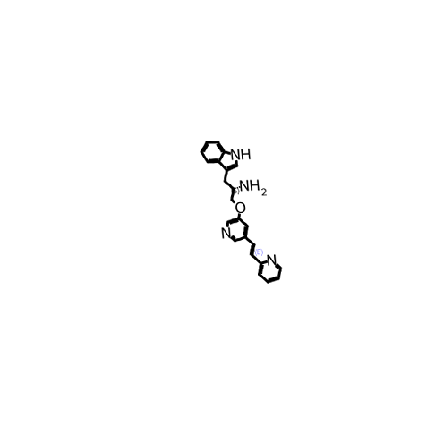 N[C@H](COc1cncc(/C=C/c2ccccn2)c1)Cc1c[nH]c2ccccc12